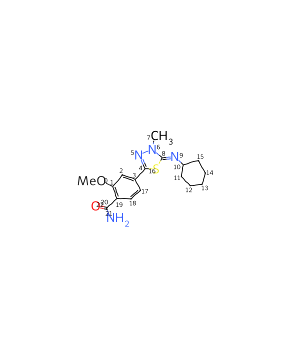 COc1cc(-c2nn(C)c(=NC3CCCCC3)s2)ccc1C(N)=O